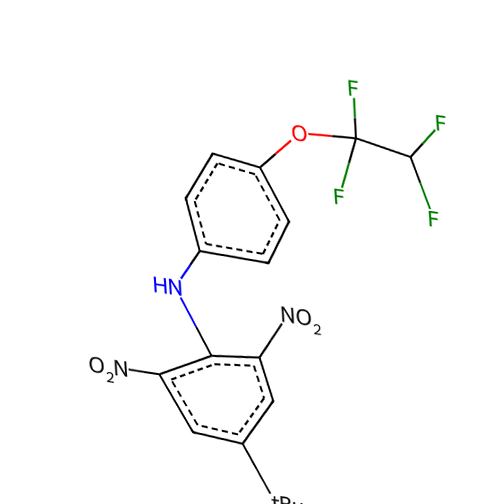 CC(C)(C)c1cc([N+](=O)[O-])c(Nc2ccc(OC(F)(F)C(F)F)cc2)c([N+](=O)[O-])c1